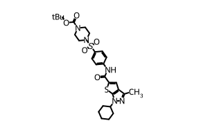 Cc1nn(C2CCCCC2)c2sc(C(=O)Nc3ccc(S(=O)(=O)N4CCN(C(=O)OC(C)(C)C)CC4)cc3)cc12